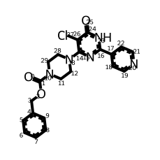 O=C(OCc1ccccc1)N1CCN(c2nc(-c3ccncc3)[nH]c(=O)c2Cl)CC1